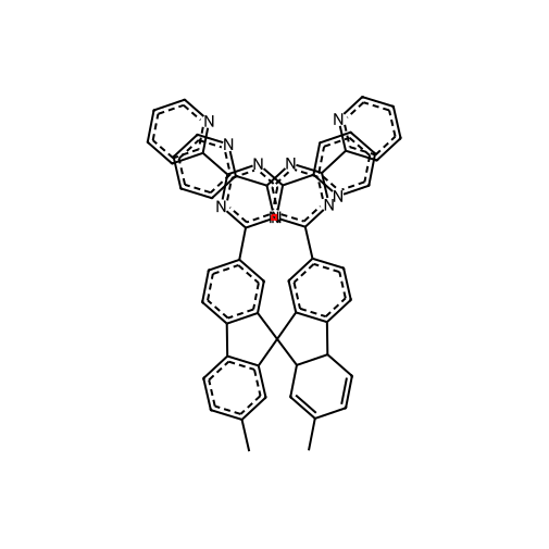 CC1=CC2C(C=C1)c1ccc(-c3nc(-c4ccccn4)nc(-c4ccccn4)n3)cc1C21c2cc(C)ccc2-c2ccc(-c3nc(-c4ccccn4)nc(-c4ccccn4)n3)cc21